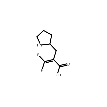 O=C(O)C(CC1CCCN1)=C(F)F